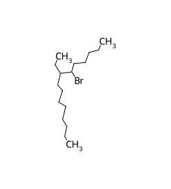 CCCCCCCCC(CC)C(Br)CCCCC